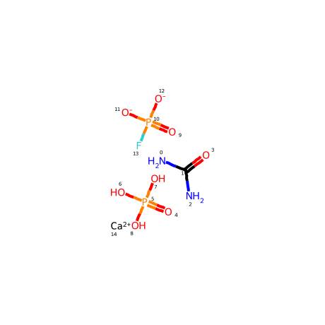 NC(N)=O.O=P(O)(O)O.O=P([O-])([O-])F.[Ca+2]